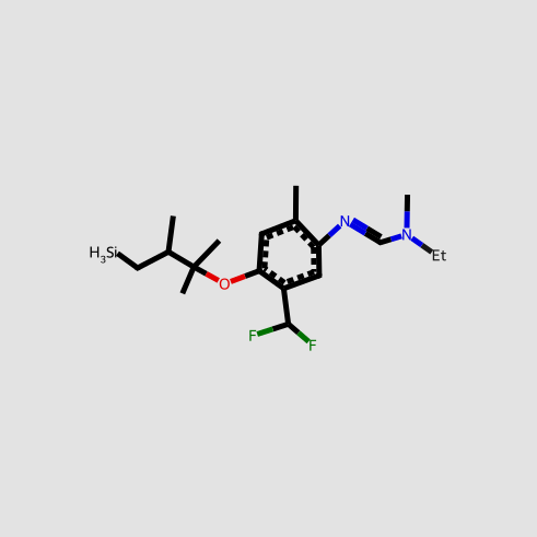 CCN(C)C=Nc1cc(C(F)F)c(OC(C)(C)C(C)C[SiH3])cc1C